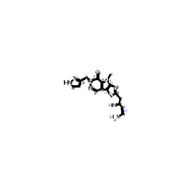 Cn1c2nc(CC(=N)/C=C\N)sc2c2cnn(Cc3cc[nH]n3)c(=O)c21